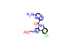 Cc1ccc(Cl)cc1-c1nn(CCO)cc1NC(=O)c1cnn2ccc(N)nc12